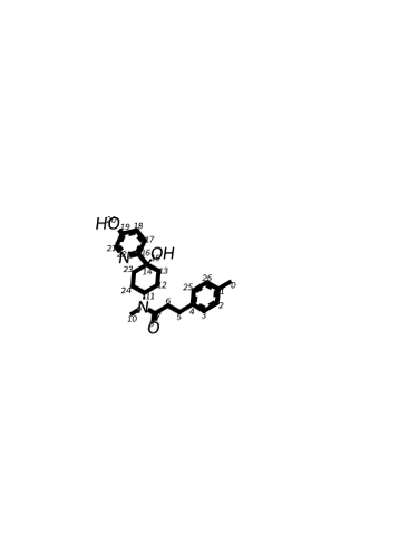 Cc1ccc(CCC(=O)N(C)[C@H]2CC[C@](O)(c3ccc(O)cn3)CC2)cc1